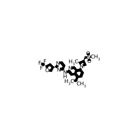 CC(C)c1ccc(N2C[C@H](CS(C)(=O)=O)[C@H]2C)c2cnc(Nc3ccnc([C@H]4CO[C@H](C(F)(F)F)C4)n3)cc12